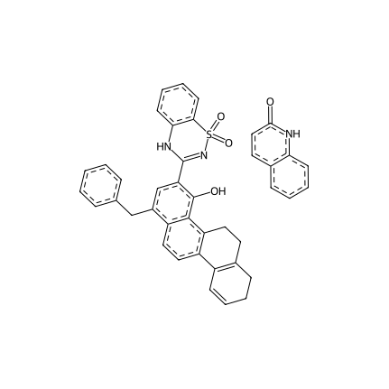 O=S1(=O)N=C(c2cc(Cc3ccccc3)c3ccc4c(c3c2O)CCC2=C4C=CCC2)Nc2ccccc21.O=c1ccc2ccccc2[nH]1